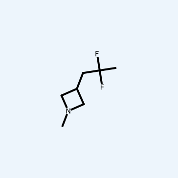 CN1CC(CC(C)(F)F)C1